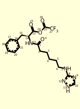 O=C(CCCCCNc1nc[nH]n1)N[C@@H](Cc1ccccc1)C(=O)OC(=O)C(F)(F)F